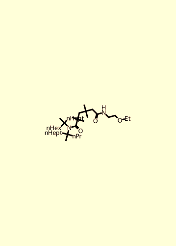 CCCCCCCC(C)(CCC)N(C(=O)C(C)(C)CC(C)(C)CC(=O)NCCOCC)C(C)(CCCCCC)CCCCCCC